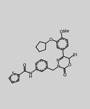 CCC1OC(=O)N(Cc2cccc(NC(=O)c3cccs3)c2)N=C1c1ccc(OC)c(OC2CCCC2)c1